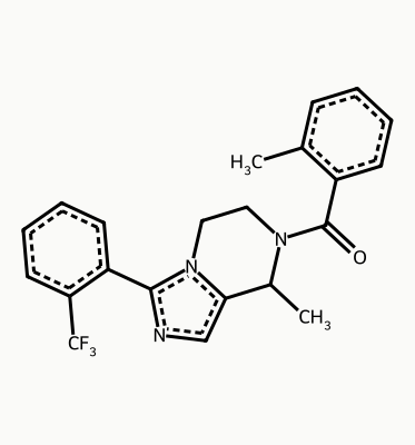 Cc1ccccc1C(=O)N1CCn2c(cnc2-c2ccccc2C(F)(F)F)C1C